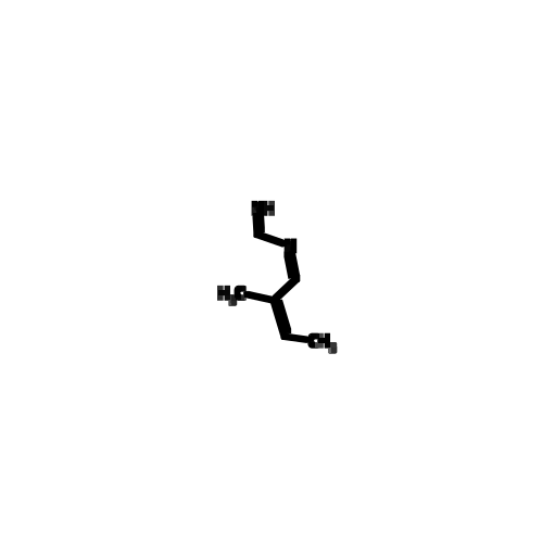 C/C=C(C)\C=N/C=N